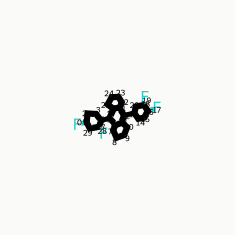 Fc1ccc(-c2c3ccccc3c(-c3ccc(F)c(F)c3)c3ccccc23)c(F)c1